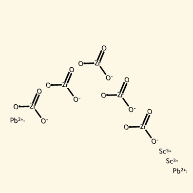 [O]=[Zr]([O-])[O-].[O]=[Zr]([O-])[O-].[O]=[Zr]([O-])[O-].[O]=[Zr]([O-])[O-].[O]=[Zr]([O-])[O-].[Pb+2].[Pb+2].[Sc+3].[Sc+3]